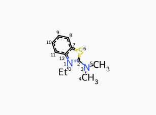 CC[n+]1c(N(C)C)sc2ccccc21